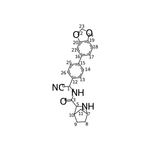 N#CC(NC(=O)C1NC2CCC1C2)c1ccc(-c2ccc3c(c2)OCO3)cc1